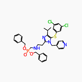 CC(C)c1nc(CCNCP(=O)(OCc2ccccc2)OCc2ccccc2)n(Cc2ccncc2)c1Sc1cc(Cl)cc(Cl)c1